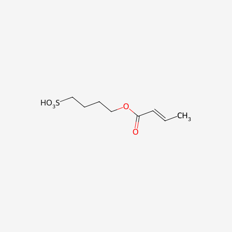 CC=CC(=O)OCCCCS(=O)(=O)O